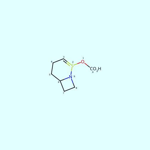 O=C(O)OS1=CCCC2CCN21